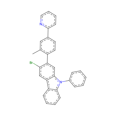 Cc1cc(-c2ccccn2)ccc1-c1cc2c(cc1Br)c1ccccc1n2-c1ccccc1